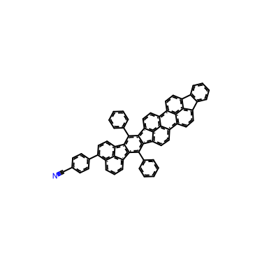 N#Cc1ccc(-c2ccc3c4c(-c5ccccc5)c5c6ccc7c8ccc9c%10c(ccc(c%11ccc(c5c(-c5ccccc5)c4c4cccc2c43)c6c%117)c%108)-c2ccccc2-9)cc1